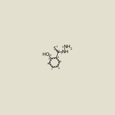 NNC(=S)c1ccccc1O